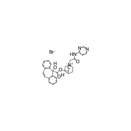 O=C(C[N+]12CCC(CC1)[C@@H](OC(=O)C1(O)c3ccccc3C=Cc3ccccc31)C2)Nc1ccncn1.[Br-]